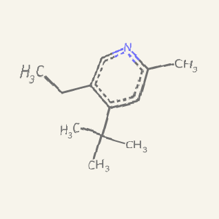 CCc1cnc(C)cc1C(C)(C)C